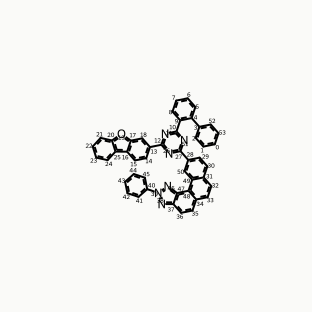 c1ccc(-c2ccccc2-c2nc(-c3ccc4c(c3)oc3ccccc34)nc(-c3ccc4ccc5ccc6nn(-c7ccccc7)nc6c5c4c3)n2)cc1